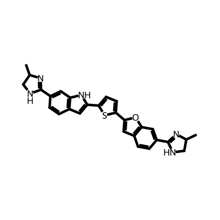 CC1CNC(c2ccc3cc(-c4ccc(-c5cc6ccc(C7=NC(C)CN7)cc6o5)s4)[nH]c3c2)=N1